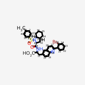 Cc1ccc([S+]([O-])N2[C@H](C(=O)NC(Cc3ccc4nc(-c5ccccc5Br)ccc4c3)C(=O)O)C[C@@H]3CCCC[C@@H]32)cc1